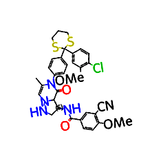 COc1cc(C2(c3ccc(N4C(=O)C5[C@@H](NC(=O)c6ccc(OC)c(C#N)c6)CNN5C=C4C)cc3)SCCCS2)ccc1Cl